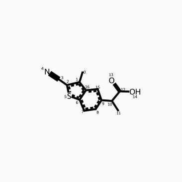 Cc1c(C#N)sc2ccc(C(C)C(=O)O)cc12